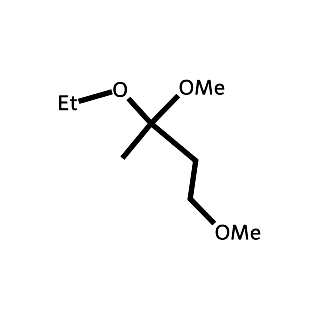 CCOC(C)(CCOC)OC